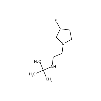 CC(C)(C)NCCN1CCC(F)C1